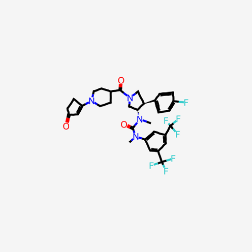 CN(C(=O)N(C)[C@@H]1CN(C(=O)C2CCN(C3=CC(=O)CC3)CC2)C[C@H]1c1ccc(F)cc1)c1cc(C(F)(F)F)cc(C(F)(F)F)c1